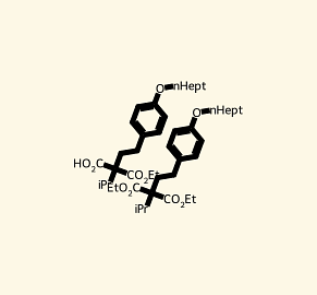 CCCCCCCOc1ccc(CCC(C(=O)O)(C(=O)OCC)C(C)C)cc1.CCCCCCCOc1ccc(CCC(C(=O)OCC)(C(=O)OCC)C(C)C)cc1